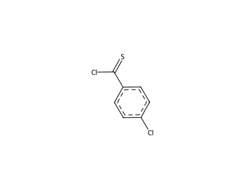 S=C(Cl)c1ccc(Cl)cc1